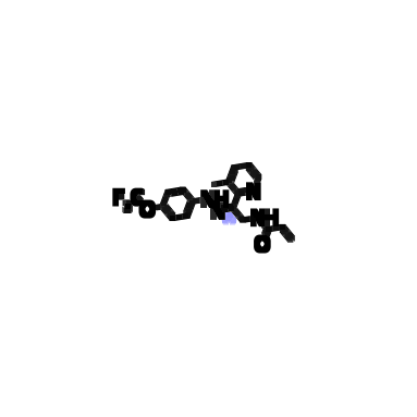 C=CC(=O)NC/C(=N/Nc1ccc(OC(F)(F)F)cc1)c1ncccc1C